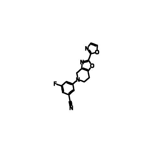 N#Cc1cc(F)cc(N2CCc3oc(-c4ncco4)nc3C2)c1